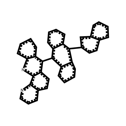 c1ccc2cc(-c3c4ccccc4c(-c4c5ccccc5nc5c4ccc4cccnc45)c4ccccc34)ccc2c1